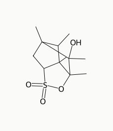 CC1C2(C)CC3C1(C)C(C)(OS3(=O)=O)C2(C)O